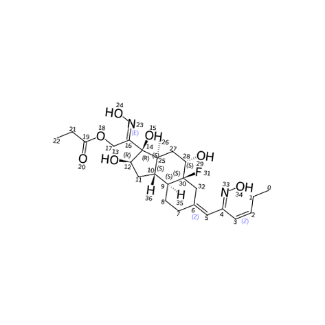 CC/C=C\C(/C=C1/CC[C@H]2[C@@H]3C[C@@H](O)[C@](O)(/C(COC(=O)CC)=N/O)[C@@]3(C)C[C@H](O)[C@]2(F)C1)=NO